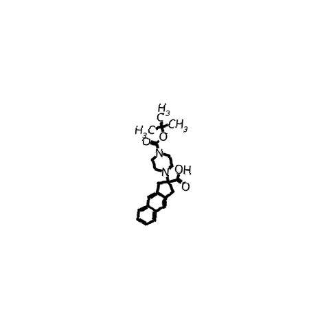 CC(C)(C)OC(=O)N1CCN(C2(C(=O)O)Cc3cc4ccccc4cc3C2)CC1